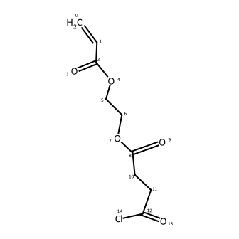 C=CC(=O)OCCOC(=O)CCC(=O)Cl